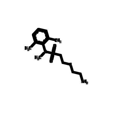 Cc1cccc(C)c1N(C)S(=O)(=O)CCSCCN